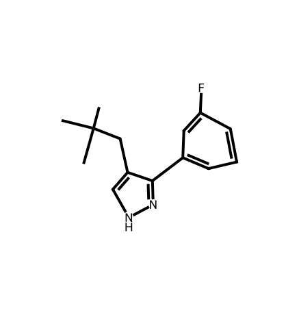 CC(C)(C)Cc1c[nH]nc1-c1cccc(F)c1